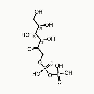 O=C(COP(=O)(O)OP(=O)(O)O)[C@@H](O)[C@H](O)[C@H](O)CO